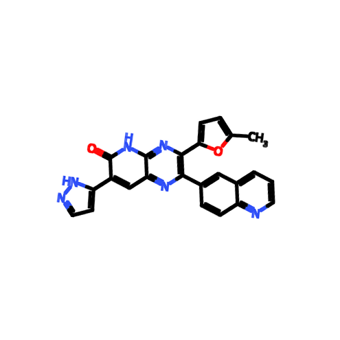 Cc1ccc(-c2nc3[nH]c(=O)c(-c4ccn[nH]4)cc3nc2-c2ccc3ncccc3c2)o1